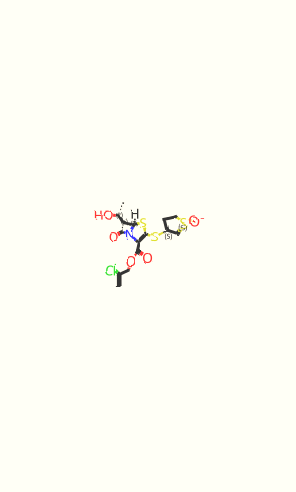 C=C(Cl)COC(=O)C1=C(S[C@H]2CC[S@@+]([O-])C2)S[C@@H]2[C@@H]([C@@H](C)O)C(=O)N12